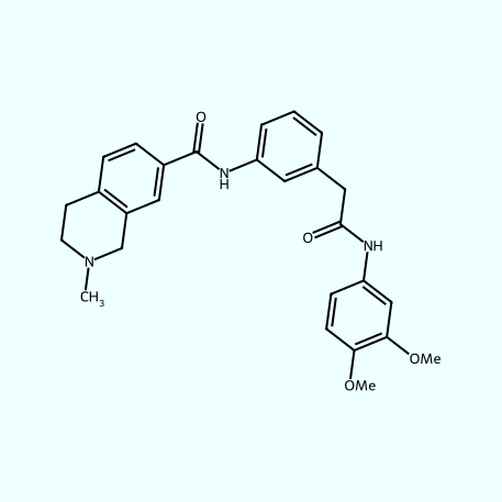 COc1ccc(NC(=O)Cc2cccc(NC(=O)c3ccc4c(c3)CN(C)CC4)c2)cc1OC